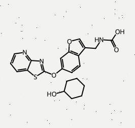 O=C(O)NCc1coc2cc(Oc3nc4ncccc4s3)ccc12.OC1CCCCC1